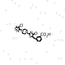 O=C1N=C(N2CCN(c3nsnc3Cl)CC2)S/C1=C/c1cccc(C(=O)O)c1